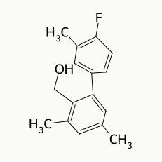 Cc1cc(C)c(CO)c(-c2ccc(F)c(C)c2)c1